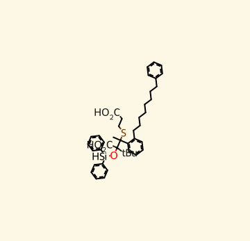 CC(C)(C)C(O[SiH](c1ccccc1)c1ccccc1)(C(=O)O)C(C)(SCCC(=O)O)c1ccccc1CCCCCCCCc1ccccc1